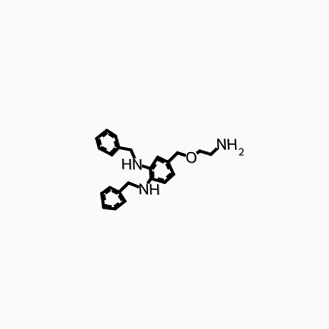 NCCOCc1ccc(NCc2ccccc2)c(NCc2ccccc2)c1